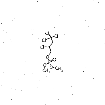 COP(=O)(OC)OCC(Cl)CC(Cl)(Cl)Cl